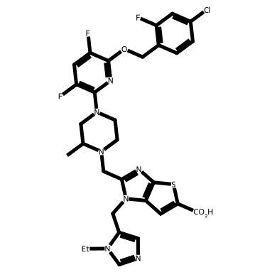 CCn1cncc1Cn1c(CN2CCN(c3nc(OCc4ccc(Cl)cc4F)c(F)cc3F)CC2C)nc2sc(C(=O)O)cc21